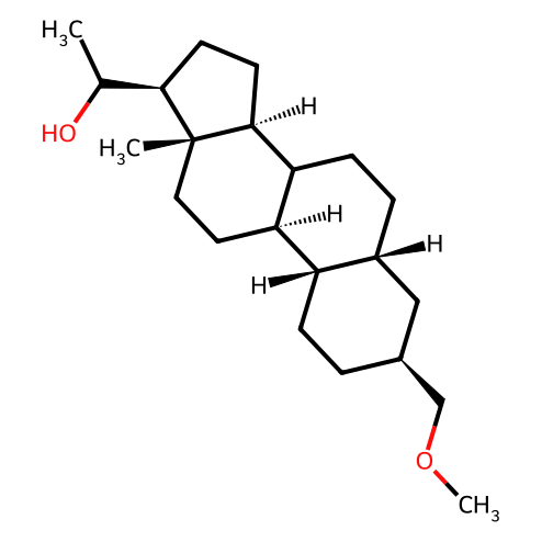 COC[C@H]1CC[C@H]2[C@H](CCC3[C@@H]2CC[C@]2(C)[C@@H](C(C)O)CC[C@@H]32)C1